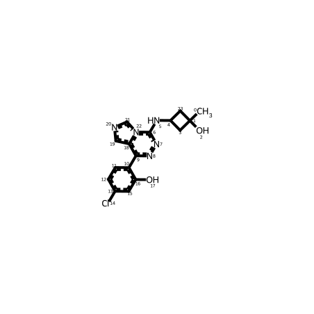 CC1(O)CC(Nc2nnc(-c3ccc(Cl)cc3O)c3cncn23)C1